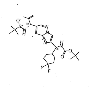 C=C(C)[C@@H](N[S+]([O-])C(C)(C)C)c1cnn2cc([C@@H](NC(=O)OC(C)(C)C)C3CCC(F)(F)CC3)nc2c1